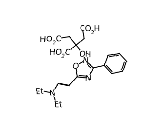 CCN(CC)CCc1nc(-c2ccccc2)no1.O=C(O)CC(O)(CC(=O)O)C(=O)O